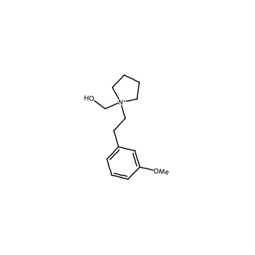 COc1cccc(CC[N+]2(CO)CCCC2)c1